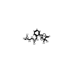 C=C1OB(c2ccccc2CN(C)CCN(C)C)OC1(C)C